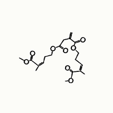 C=C(CC(=O)OCCC=C(C)C(=O)OC)C(=O)OCCC=C(C)C(=O)OC